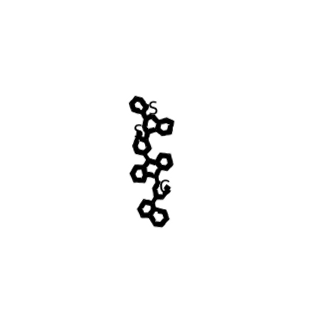 c1cc(-c2cccc3ccccc23)cc(-c2c3ccccc3c(-c3ccc4sc5c(c4c3)c3ccccc3c3sc4ccccc4c35)c3ccccc23)c1